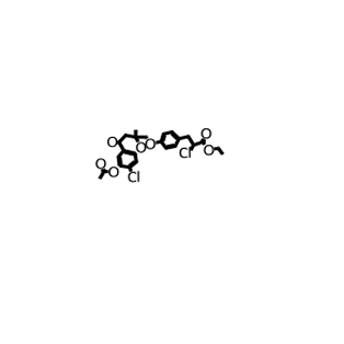 CCOC(=O)C(Cl)Cc1ccc(OCC2(C)CC(=O)c3cc(OC(C)=O)c(Cl)cc3O2)cc1